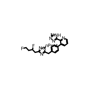 CCCCCn1nc(CC(F)CCF)nc1Cc1ccc(-c2cccnc2-c2nnn[nH]2)cc1